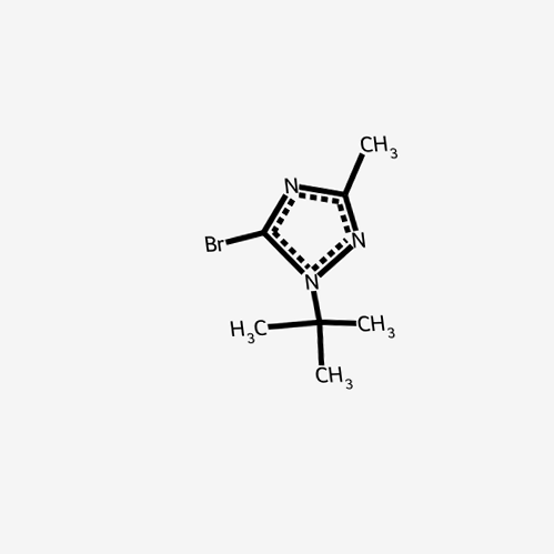 Cc1nc(Br)n(C(C)(C)C)n1